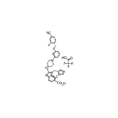 Cn1cncc1Cn1c(C2CC23CCN(c2cccc(OCc4ccc(C#N)cc4F)n2)CC3)nc2ccc(C(=O)O)cc21.O=C(O)C(F)(F)F